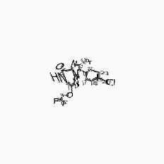 CC(C)c1nc2c(=O)[nH]c(OCC(F)F)nn2c1-c1ccc(Cl)cc1